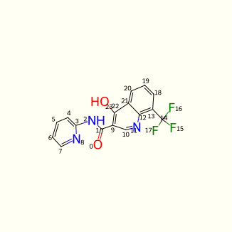 O=C(Nc1ccccn1)c1cnc2c(C(F)(F)F)cccc2c1O